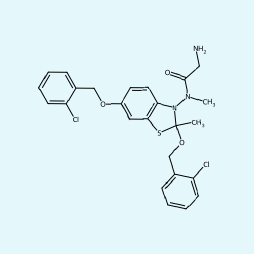 CN(C(=O)CN)N1c2ccc(OCc3ccccc3Cl)cc2SC1(C)OCc1ccccc1Cl